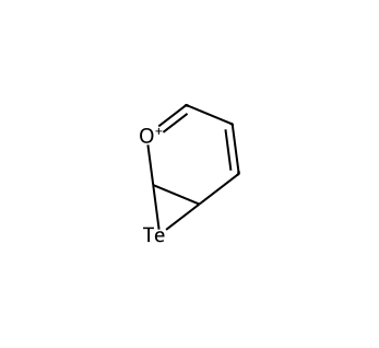 C1=CC2[Te]C2[O+]=C1